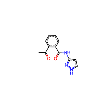 CC(=O)c1ccccc1C(=O)Nc1cc[nH]n1